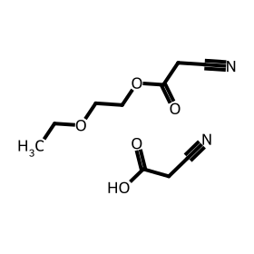 CCOCCOC(=O)CC#N.N#CCC(=O)O